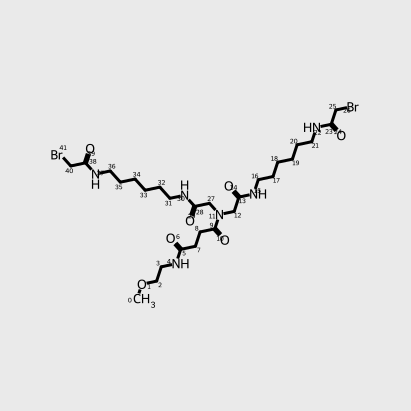 COCCNC(=O)CCC(=O)N(CC(=O)NCCCCCCNC(=O)CBr)CC(=O)NCCCCCCNC(=O)CBr